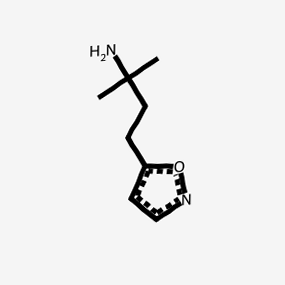 CC(C)(N)CCc1ccno1